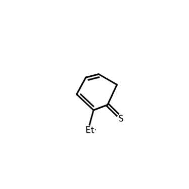 C[CH]C1=CC=CCC1=S